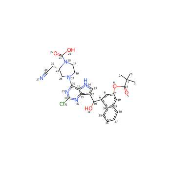 CC(C)(C)C(=O)Oc1cc(C(O)c2c[nH]c3c(N4CCN(C(=O)O)[C@@H](CC#N)C4)nc(Cl)nc23)c2ccccc2c1